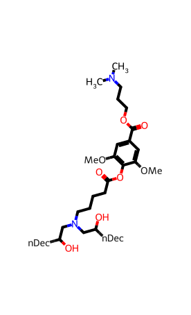 CCCCCCCCCCC(O)CN(CCCCC(=O)Oc1c(OC)cc(C(=O)OCCCN(C)C)cc1OC)CC(O)CCCCCCCCCC